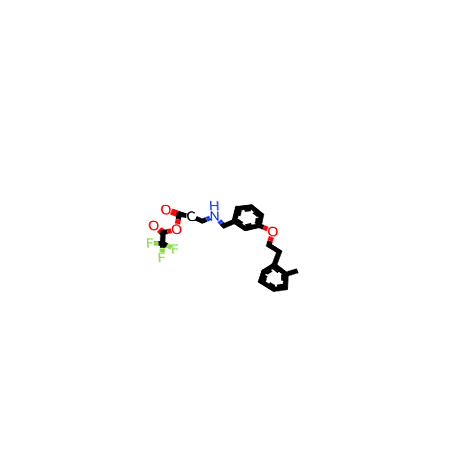 Cc1ccccc1CCOc1cccc(CNCCC(=O)OC(=O)C(F)(F)F)c1